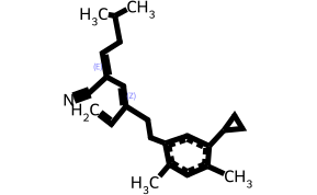 C=C/C(=C\C(C#N)=C/CC(C)C)CCc1cc(C2CC2)c(C)cc1C